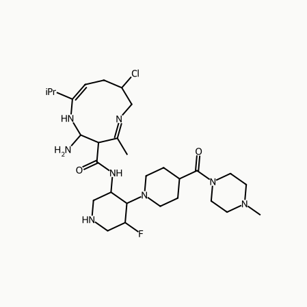 C/C1=N\CC(Cl)C/C=C(/C(C)C)NC(N)C1C(=O)NC1CNCC(F)C1N1CCC(C(=O)N2CCN(C)CC2)CC1